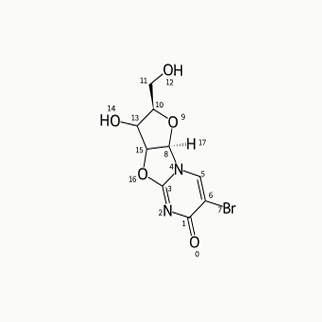 O=c1nc2n(cc1Br)[C@@H]1O[C@H](CO)C(O)C1O2